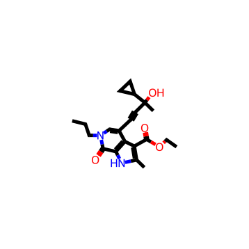 CCCn1cc(C#CC(C)(O)C2CC2)c2c(C(=O)OCC)c(C)[nH]c2c1=O